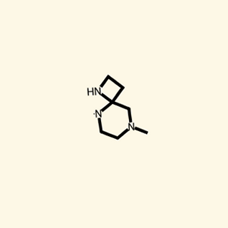 CN1CC[N]C2(CCN2)C1